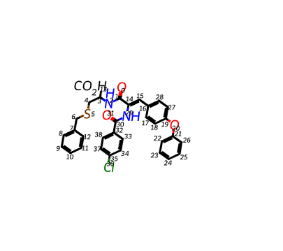 O=C(NC(CSCc1ccccc1)C(=O)O)C(=Cc1ccc(Oc2ccccc2)cc1)NC(=O)c1ccc(Cl)cc1